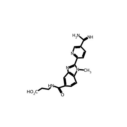 Cn1c(-c2ccc(C(=N)N)cn2)nc2cc(C(=O)NCCC(=O)O)ccc21